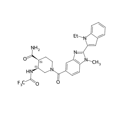 CCn1c(-c2nc3cc(C(=O)N4CC[C@H](C(N)=O)[C@H](NC(=O)C(F)(F)F)C4)ccc3n2C)cc2ccccc21